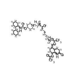 CN(CCN1CCC(OC(=O)Nc2ccccc2-c2ccccc2)CC1)C(=O)CCCCCNC[C@H](OC(=O)C(F)(F)F)c1ccc(OC(=O)C(F)(F)F)c2[nH]c(=O)ccc12